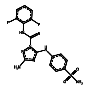 Nc1nc(Nc2ccc(S(N)(=O)=O)cc2)n(C(=S)Nc2c(F)cccc2F)n1